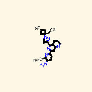 COc1nc(-c2cc3ncccc3c(-c3ccn([C@]4(CC#N)C[C@H](C#N)C4)n3)n2)ccc1N